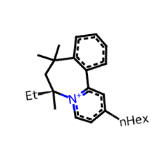 CCCCCCc1cc[n+]2c(c1)-c1ccccc1C(C)(C)C[C@]2(C)CC